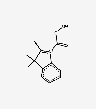 C=C(OO)[N+]1=C(C)C(C)(C)c2ccccc21